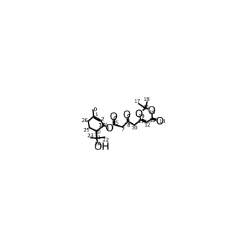 CC1=C[C@@H](OC(=O)CC(=O)CC2=CC(=O)OC(C)(C)O2)C(C(C)(C)O)CC1